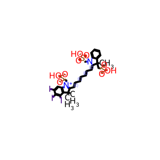 CC1(C)C(/C=C/C=C/C=C/C=C2\N(CS(=O)(=O)O)c3ccccc3C2(C)CS(=O)(=O)O)=[N+](CS(=O)(=O)O)c2cc(I)c(I)c(I)c21